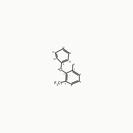 Cc1cc[c]c(C(F)(F)F)c1Oc1ccccc1